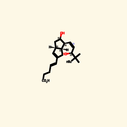 CCCCC(C)(C)[C@@H](O)/C=C\[C@H]1[C@H]2CC(C=CCCC(=O)O)=C[C@H]2C[C@H]1O